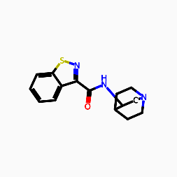 O=C(NC1CN2CCC1CC2)c1nsc2ccccc12